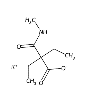 CCC(CC)(C(=O)[O-])C(=O)NC.[K+]